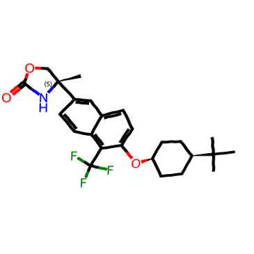 CC(C)(C)[C@H]1CC[C@@H](Oc2ccc3cc([C@@]4(C)COC(=O)N4)ccc3c2C(F)(F)F)CC1